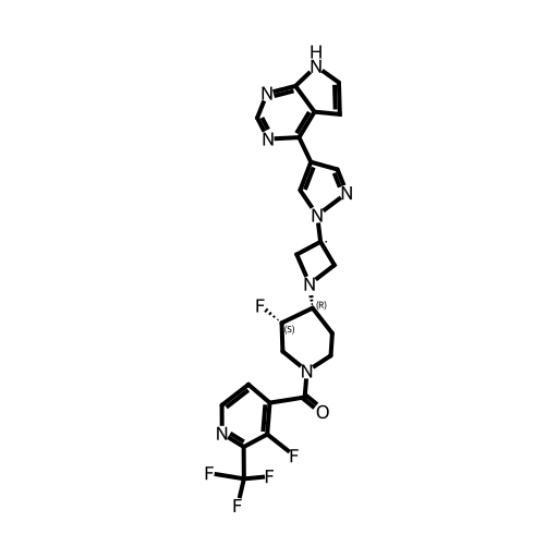 O=C(c1ccnc(C(F)(F)F)c1F)N1CC[C@@H](N2C[C](n3cc(-c4ncnc5[nH]ccc45)cn3)C2)[C@@H](F)C1